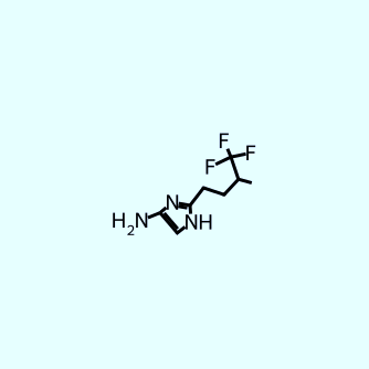 CC(CCc1nc(N)c[nH]1)C(F)(F)F